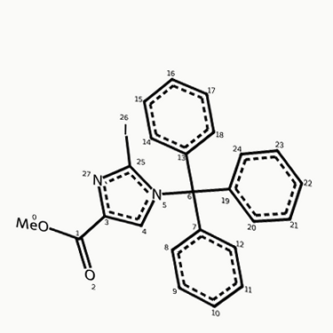 COC(=O)c1cn(C(c2ccccc2)(c2ccccc2)c2ccccc2)c(I)n1